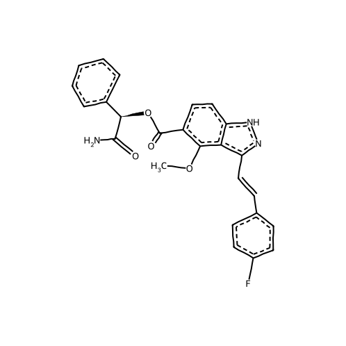 COc1c(C(=O)O[C@@H](C(N)=O)c2ccccc2)ccc2[nH]nc(C=Cc3ccc(F)cc3)c12